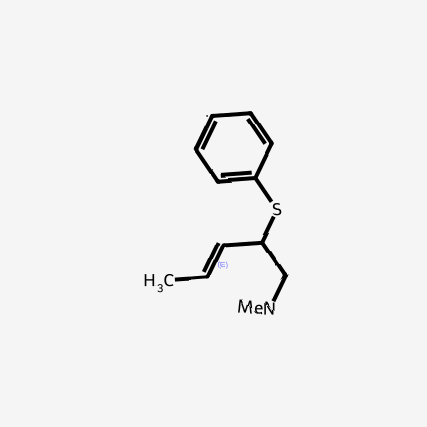 C/C=C/C(CNC)Sc1cc[c]cc1